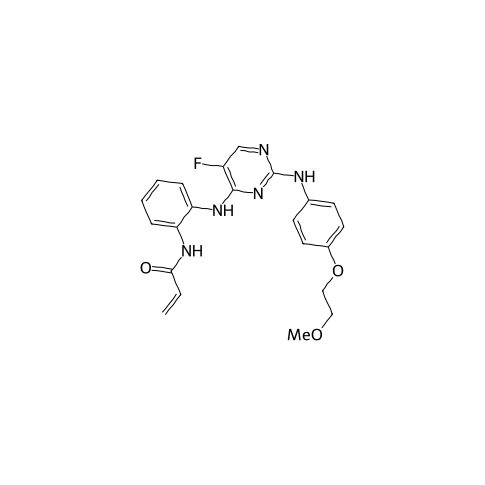 C=CC(=O)Nc1ccccc1Nc1nc(Nc2ccc(OCCOC)cc2)ncc1F